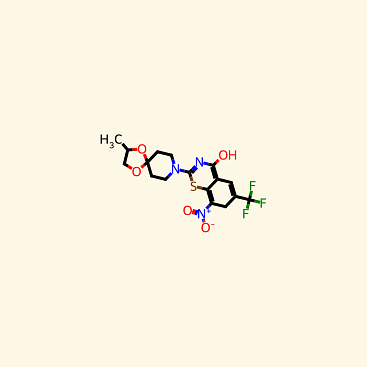 CC1COC2(CCN(C3=NC(O)=C4C=C(C(F)(F)F)CC([N+](=O)[O-])=C4S3)CC2)O1